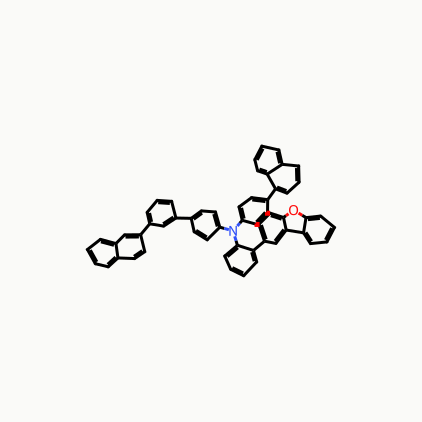 c1cc(-c2ccc(N(c3ccc(-c4cccc5ccccc45)cc3)c3ccccc3-c3ccc4oc5ccccc5c4c3)cc2)cc(-c2ccc3ccccc3c2)c1